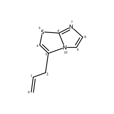 C=C[CH]c1csc2nccn12